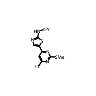 CCCNc1ncc(-c2cc(Cl)nc(SC)n2)s1